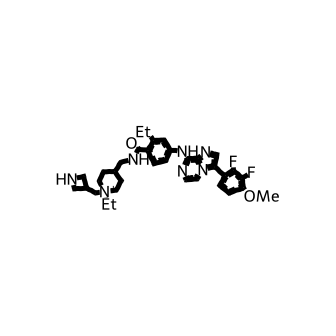 CCc1cc(Nc2nccn3c(-c4ccc(OC)c(F)c4F)cnc23)ccc1C(=O)NCC1CC[N+](CC)(CC2CNC2)CC1